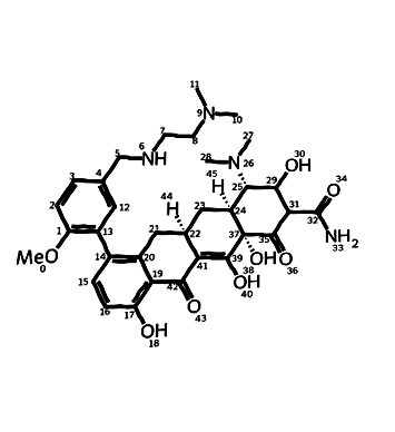 COc1ccc(CNCCN(C)C)cc1-c1ccc(O)c2c1C[C@H]1C[C@H]3[C@H](N(C)C)C(O)C(C(N)=O)C(=O)[C@@]3(O)C(O)=C1C2=O